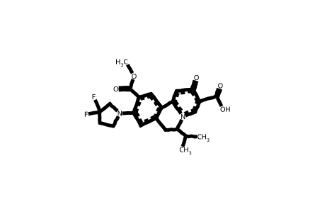 COC(=O)c1cc2c(cc1N1CCC(F)(F)C1)CC(C(C)C)n1cc(C(=O)O)c(=O)cc1-2